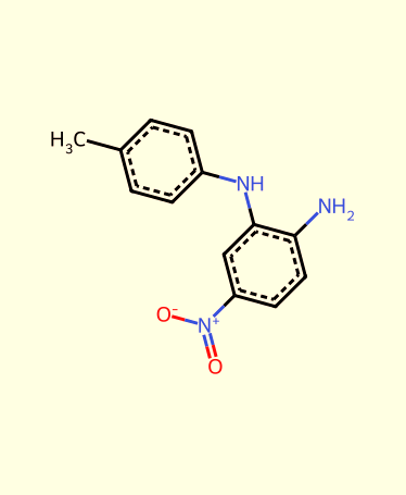 Cc1ccc(Nc2cc([N+](=O)[O-])ccc2N)cc1